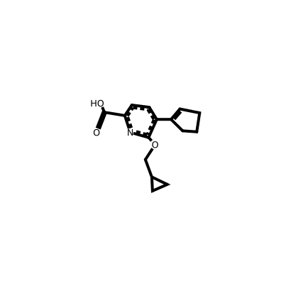 O=C(O)c1ccc(C2=CCCC2)c(OCC2CC2)n1